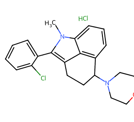 Cl.Cn1c(-c2ccccc2Cl)c2c3c(cccc31)C(N1CCOCC1)CC2